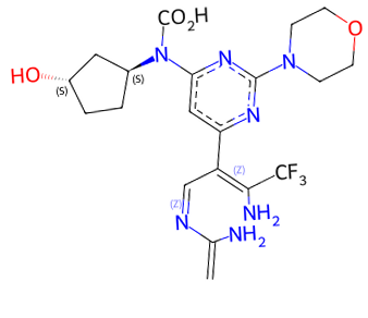 C=C(N)/N=C\C(=C(/N)C(F)(F)F)c1cc(N(C(=O)O)[C@H]2CC[C@H](O)C2)nc(N2CCOCC2)n1